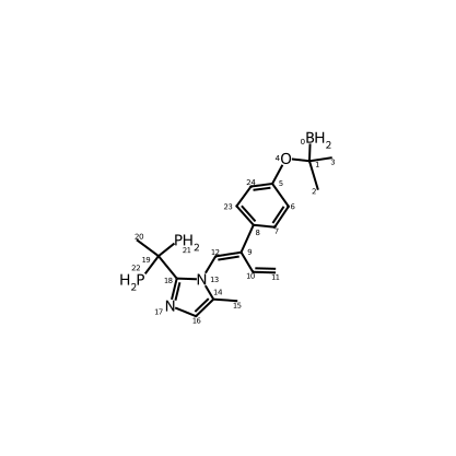 BC(C)(C)Oc1ccc(/C(C=C)=C/n2c(C)cnc2C(C)(P)P)cc1